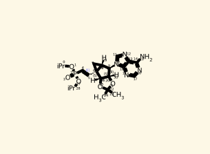 CC(C)OP(=O)(/C=C/[C@]12C[C@@H]1[C@@H](n1cnc3c(N)ncnc31)[C@@H]1OC(C)(C)O[C@@H]12)OC(C)C